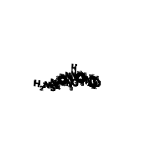 Cn1c(=O)c(Nc2ccc(N3CCOCC3)cc2)nc2ccc(-c3csc(N)n3)cc21